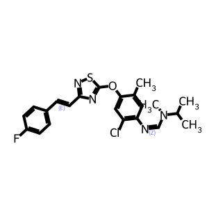 Cc1cc(/N=C\N(C)C(C)C)c(Cl)cc1Oc1nc(/C=C/c2ccc(F)cc2)ns1